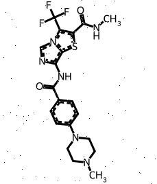 CNC(=O)c1sc2c(NC(=O)c3ccc(N4CCN(C)CC4)cc3)ncn2c1C(F)(F)F